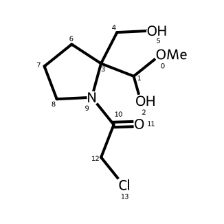 COC(O)C1(CO)CCCN1C(=O)CCl